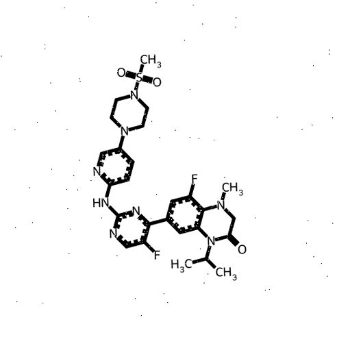 CC(C)N1C(=O)CN(C)c2c(F)cc(-c3nc(Nc4ccc(N5CCN(S(C)(=O)=O)CC5)cn4)ncc3F)cc21